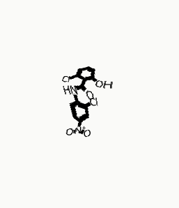 O=C(Nc1ccc([N+](=O)[O-])cc1Cl)c1c(O)cccc1Cl